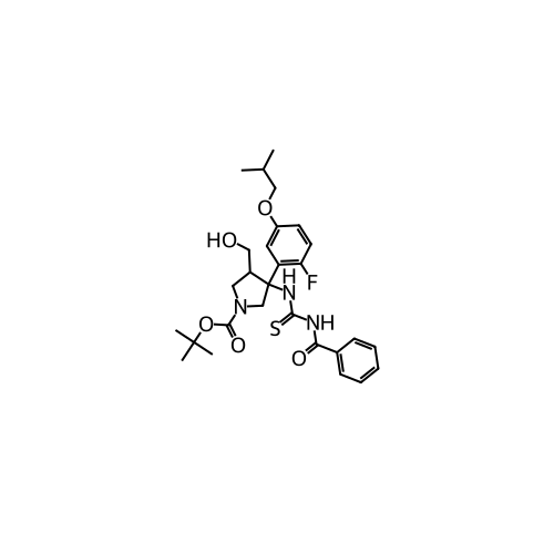 CC(C)COc1ccc(F)c(C2(NC(=S)NC(=O)c3ccccc3)CN(C(=O)OC(C)(C)C)CC2CO)c1